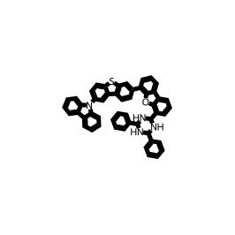 c1ccc(C2NC(c3ccccc3)NC(c3cccc4c3oc3c(-c5ccc6c(c5)sc5ccc(-n7c8ccccc8c8ccccc87)cc56)cccc34)N2)cc1